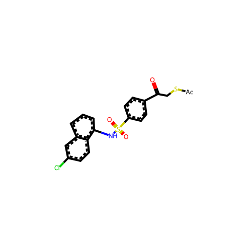 CC(=O)SCC(=O)c1ccc(S(=O)(=O)Nc2cccc3cc(Cl)ccc23)cc1